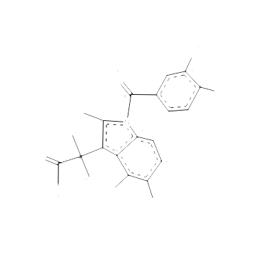 Cc1c(C(C)(C)C(=O)O)c2c(F)c(O)ccc2n1C(=O)c1ccc(Cl)c(F)c1